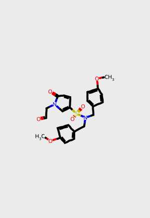 COc1ccc(CN(Cc2ccc(OC)cc2)S(=O)(=O)c2ccc(=O)n(CC=O)c2)cc1